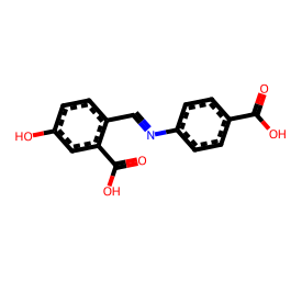 O=C(O)c1ccc(N=Cc2ccc(O)cc2C(=O)O)cc1